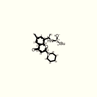 Cc1cc([C@@H](C)N[S+]([O-])C(C)(C)C)c2oc(N3CCCCC3)cc(=O)c2c1